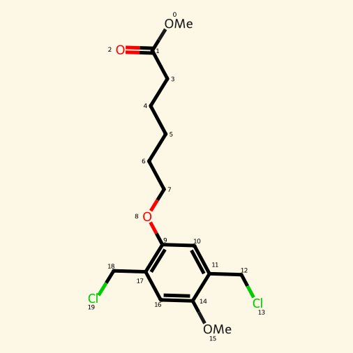 COC(=O)CCCCCOc1cc(CCl)c(OC)cc1CCl